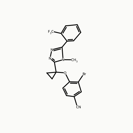 Cn1c(-c2ccccc2C(F)(F)F)nnc1C1(Oc2ccc(C#N)cc2Br)CC1